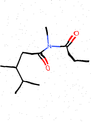 CCC(=O)N(C)C(=O)CC(C)C(C)C